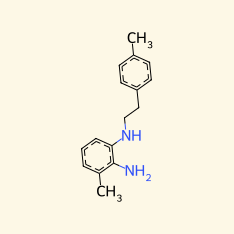 Cc1ccc(CCNc2cccc(C)c2N)cc1